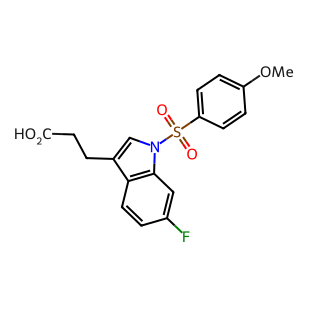 COc1ccc(S(=O)(=O)n2cc(CCC(=O)O)c3ccc(F)cc32)cc1